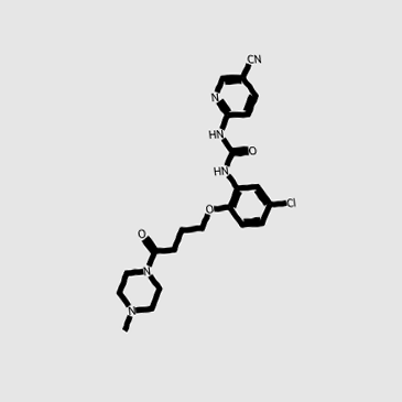 CN1CCN(C(=O)CCCOc2ccc(Cl)cc2NC(=O)Nc2ccc(C#N)cn2)CC1